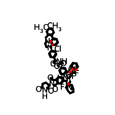 CC1(C)CCC(c2ccc(Cl)cc2)=C(CN2CCN(c3ccc(C(=O)NS(=O)(=O)c4ccc(N[C@H](CCN5C6CCC5CN(Cc5ccc7c(c5F)C(=O)N(C5CCC(=O)NC5=O)C7=O)C6)CSc5ccccc5)c(S(=O)(=O)C(F)(F)F)c4)cc3)CC2)C1